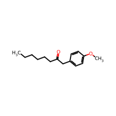 CCCCCCC(=O)Cc1ccc(OC)cc1